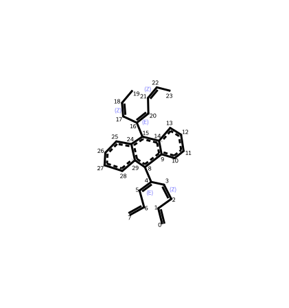 C=C/C=C\C(=C/C=C)c1c2ccccc2c(C(/C=C\C)=C/C=C\C)c2ccccc12